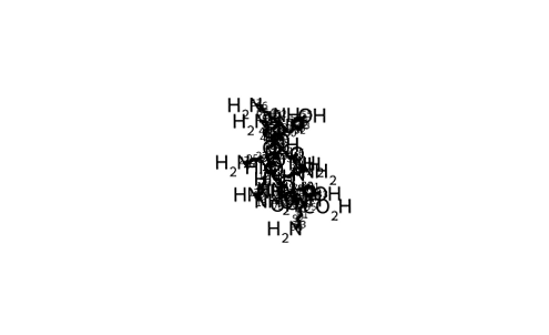 N=C(N)NCCC[C@H](NC(=O)[C@H](CCCNC(=N)N)NC(=O)[C@H](CCCCN)NC(=O)[C@H](CCC(N)=O)NC(=O)[C@H](CCCCN)NC(=O)[C@H](Cc1ccc(O)cc1)NC(=O)[C@@H](N)CCCCN)C(=O)N[C@@H](CO)C(=O)N[C@@H](Cc1ccc(O)cc1)C(=O)N[C@@H](CCCCN)C(=O)O